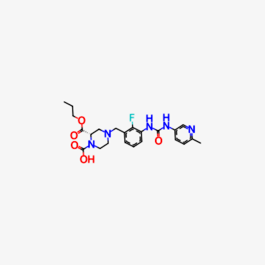 CCCOC(=O)[C@@H]1CN(Cc2cccc(NC(=O)Nc3ccc(C)nc3)c2F)CCN1C(=O)O